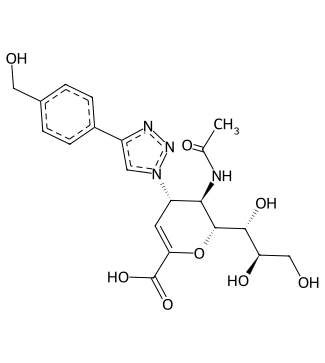 CC(=O)N[C@H]1[C@H]([C@H](O)[C@H](O)CO)OC(C(=O)O)=C[C@@H]1n1cc(-c2ccc(CO)cc2)nn1